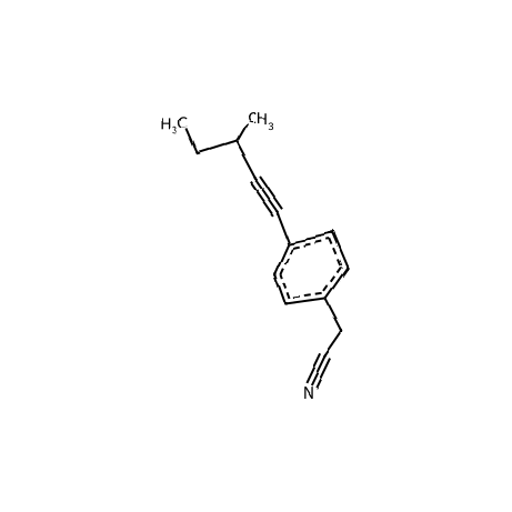 CCC(C)C#Cc1ccc(CC#N)cc1